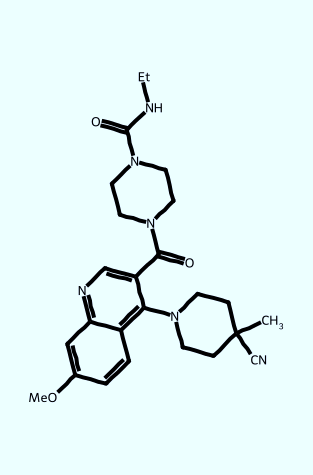 CCNC(=O)N1CCN(C(=O)c2cnc3cc(OC)ccc3c2N2CCC(C)(C#N)CC2)CC1